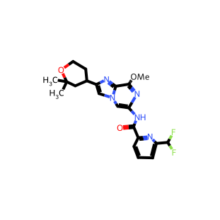 COc1nc(NC(=O)c2cccc(C(F)F)n2)cn2cc(C3CCOC(C)(C)C3)nc12